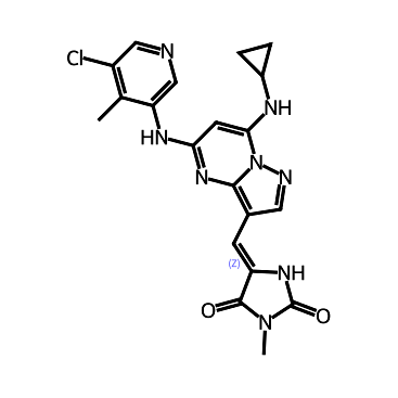 Cc1c(Cl)cncc1Nc1cc(NC2CC2)n2ncc(/C=C3\NC(=O)N(C)C3=O)c2n1